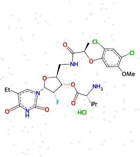 CCc1cn([C@@H]2O[C@@H](CNC(=O)[C@@H](C)Oc3cc(OC)c(Cl)cc3Cl)[C@H](OC(=O)[C@H](N)C(C)C)[C@@H]2F)c(=O)[nH]c1=O.Cl